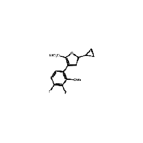 CCOC(=O)C1=C(c2ccc(F)c(F)c2OC)CC(C2CC2)O1